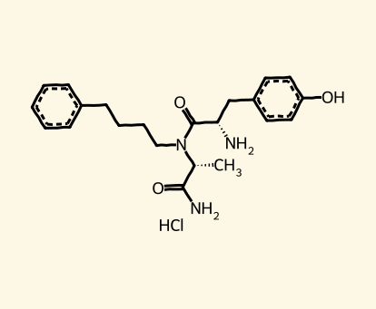 C[C@H](C(N)=O)N(CCCCc1ccccc1)C(=O)[C@@H](N)Cc1ccc(O)cc1.Cl